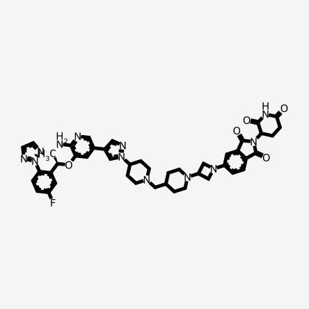 C[C@@H](Oc1cc(-c2cnn(C3CCN(CC4CCN(C5CN(c6ccc7c(c6)C(=O)N(C6CCC(=O)NC6=O)C7=O)C5)CC4)CC3)c2)cnc1N)c1cc(F)ccc1-n1nccn1